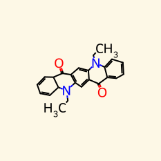 CCN1c2cc3c(=O)c4ccccc4n(CC)c3cc2C(=O)C2C=CC=CC21